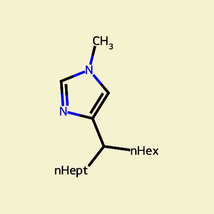 CCCCCCCC(CCCCCC)c1cn(C)cn1